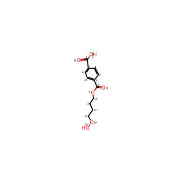 O=C(O)c1ccc(C(=O)OCCCCOO)cc1